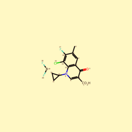 Cc1cc2c(=O)c(C(=O)O)cn(C3CC3)c2c(Cl)c1F.F[B]F